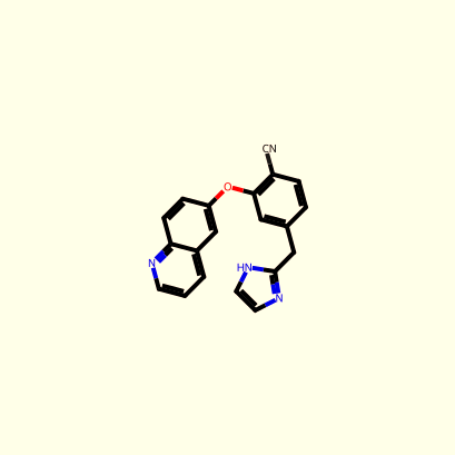 N#Cc1ccc(Cc2ncc[nH]2)cc1Oc1ccc2ncccc2c1